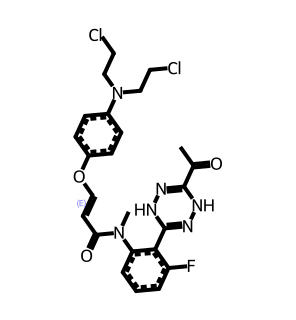 CC(=O)C1=NNC(c2c(F)cccc2N(C)C(=O)/C=C/Oc2ccc(N(CCCl)CCCl)cc2)=NN1